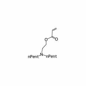 C=CC(=O)OCCN(CCCCC)CCCCC